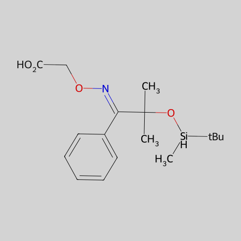 C[SiH](OC(C)(C)/C(=N/OCC(=O)O)c1ccccc1)C(C)(C)C